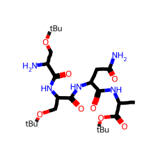 CC(NC(=O)C(CC(N)=O)NC(=O)C(COC(C)(C)C)NC(=O)C(N)COC(C)(C)C)C(=O)OC(C)(C)C